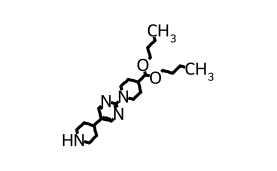 CCCCOC(OCCCC)C1CCN(c2ncc(C3CCNCC3)cn2)CC1